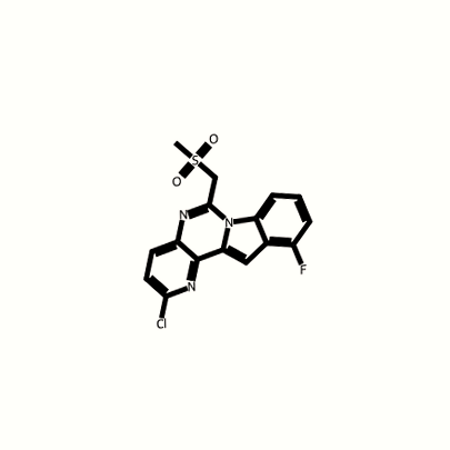 CS(=O)(=O)Cc1nc2ccc(Cl)nc2c2cc3c(F)cccc3n12